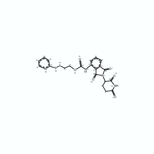 O=C1CCC(N2C(=O)c3cccc(NC(=O)OCCSSc4ccccn4)c3C2=O)C(=O)N1